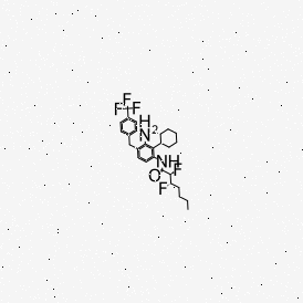 CCCC[C@H](F)[C@H](F)C(=O)Nc1ccc(Cc2ccc(C(F)(F)F)cc2)c(N)c1C1CCCCC1